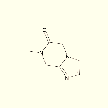 O=C1Cn2ccnc2CN1I